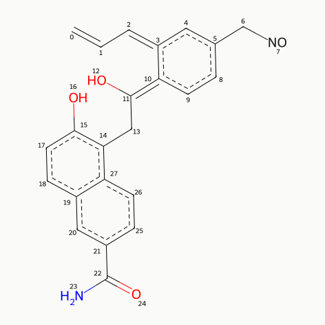 C=C/C=c1/cc(CN=O)cc/c1=C(/O)Cc1c(O)ccc2cc(C(N)=O)ccc12